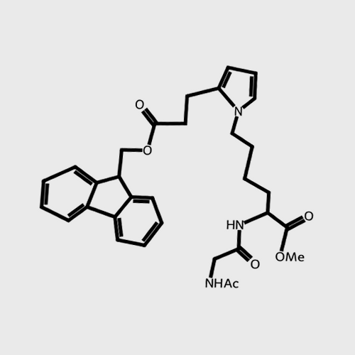 COC(=O)C(CCCCn1cccc1CCC(=O)OCC1c2ccccc2-c2ccccc21)NC(=O)CNC(C)=O